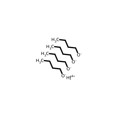 CCCC[O-].CCCC[O-].CCCC[O-].CCCC[O-].[Hf+4]